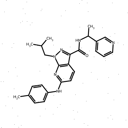 Cc1ccc(Nc2ccc3c(C(=O)NC(C)c4cccnc4)nn(CC(C)C)c3n2)cc1